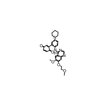 COCCOc1cc2ncnc(Nc3ccc(N4CCCCC4)cc3C3=CC(=O)C=CC3=O)c2cc1OC